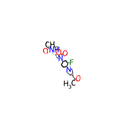 CC(=O)NC[C@H]1CN(c2ccc(N3CC4C(C3)C4C(C)=O)c(F)c2)C(=O)O1